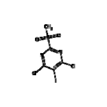 CS(=O)(=O)c1nc(Cl)c(I)c(Cl)n1